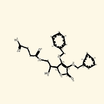 O=C(O)CCC(=O)OCC(O)C1OC(=O)C(OCc2ccccc2)=C1OCc1ccccc1